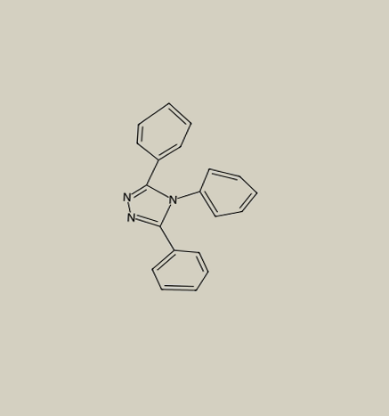 c1ccc(-c2nnc(-c3ccccc3)n2-c2ccccc2)cc1